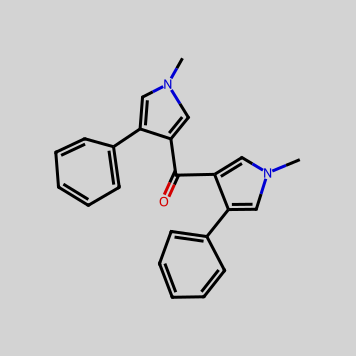 Cn1cc(C(=O)c2cn(C)cc2-c2ccccc2)c(-c2ccccc2)c1